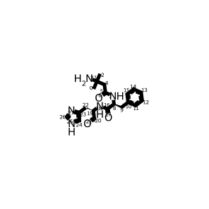 CC(C)(N)CC(=O)N[C@@H](Cc1ccccc1)C(=O)N[C@H]([C]=O)Cc1c[nH]cn1